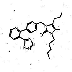 CCCCCn1c(C)c(CCC)n(Cc2ccc(-c3ncccc3-c3nnn[nH]3)cc2)c1=O